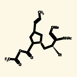 CC=CC1CC(C(=O)OC(=O)C(F)(F)F)N(C[C@@H](CC)C(=COC)NC(C)=O)C1